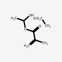 C=C(C)C(=O)OC(C)O.CCOC(C)=O